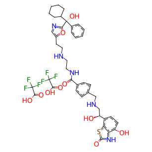 O=C(NCCNCCc1cnc([C@](O)(c2ccccc2)C2CCCCC2)o1)c1ccc(CNC[C@H](O)c2ccc(O)c3[nH]c(=O)sc23)cc1.O=C(O)C(F)(F)F.O=C(O)C(F)(F)F